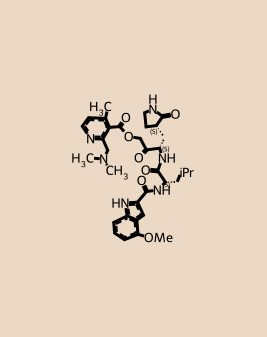 COc1cccc2[nH]c(C(=O)N[C@@H](CC(C)C)C(=O)N[C@@H](C[C@@H]3CCNC3=O)C(=O)COC(=O)c3c(C)ccnc3CN(C)C)cc12